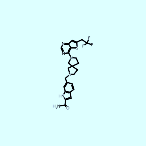 NC(=O)c1cc2ccc(CN3CCC4(CCN(c5ncnc6cc(CC(F)(F)F)sc56)C4)C3)cc2[nH]1